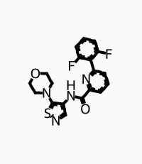 O=C(Nc1cnsc1N1CCOCC1)c1cccc(-c2c(F)cccc2F)n1